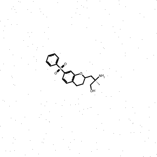 C[C@](N)(CO)CC1CCc2ccc(S(=O)(=O)c3ccccc3)cc2O1